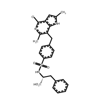 Cc1cc2c(Cl)nc(C)c(Cc3ccc(S(=O)(=O)N[C@H](Cc4ccccc4)C(=O)O)cc3)c2[nH]1